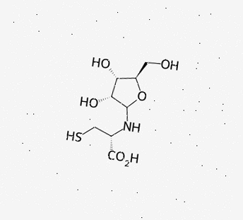 O=C(O)[C@H](CS)NC1O[C@H](CO)[C@@H](O)[C@H]1O